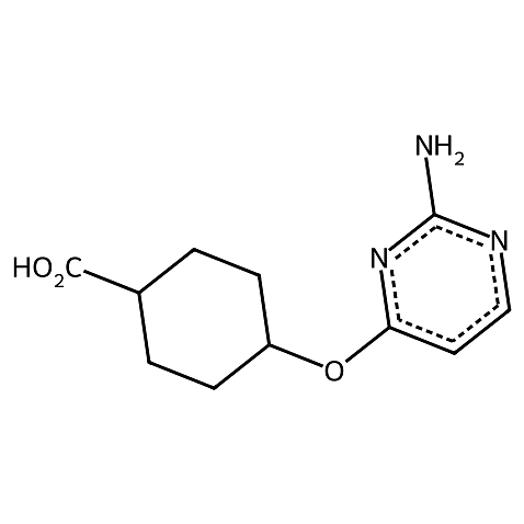 Nc1nccc(OC2CCC(C(=O)O)CC2)n1